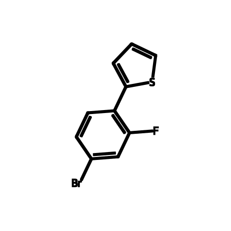 Fc1cc(Br)ccc1-c1cccs1